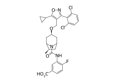 C[C@@H]1CC2C[C@H](OCc3c(-c4c(Cl)cccc4Cl)noc3C3CC3)CC1N2C(=O)Nc1cc(C(=O)O)ccc1F